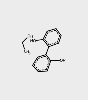 CCO.Oc1ccccc1-c1ccccc1O